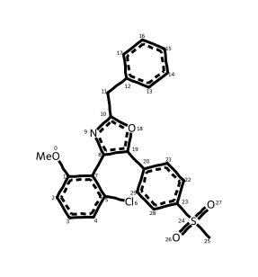 COc1cccc(Cl)c1-c1nc(Cc2ccccc2)oc1-c1ccc(S(C)(=O)=O)cc1